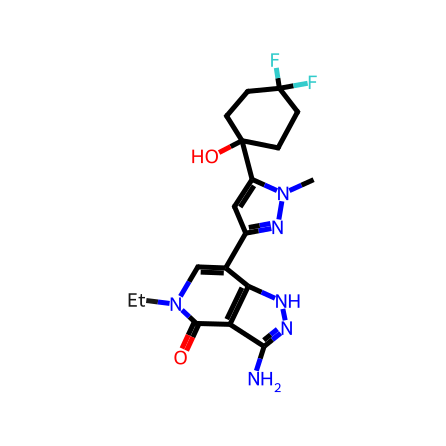 CCn1cc(-c2cc(C3(O)CCC(F)(F)CC3)n(C)n2)c2[nH]nc(N)c2c1=O